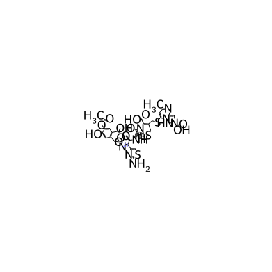 CC(=O)Oc1cc(C(=O)O)c(CO/N=C(\C(=O)N[C@@H]2C(=O)N3C(C(=O)O)=C(CSC4=CC(C)=NC5=CN(C(=O)O)NN54)CS[C@H]23)c2csc(N)n2)cc1O